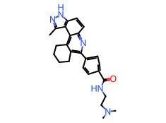 Cc1n[nH]c2ccc3nc(-c4ccc(C(=O)NCCN(C)C)cc4)c4c(c3c12)CCCC4